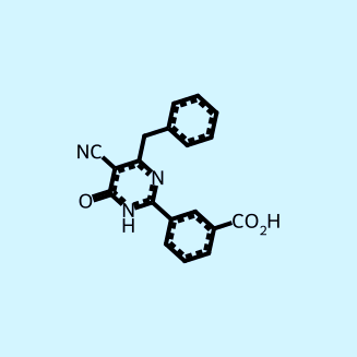 N#Cc1c(Cc2ccccc2)nc(-c2cccc(C(=O)O)c2)[nH]c1=O